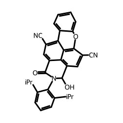 CC(C)c1cccc(C(C)C)c1N1C(=O)c2cc(C#N)c3c4c(c(C#N)cc(c24)C1O)Oc1ccccc1-3